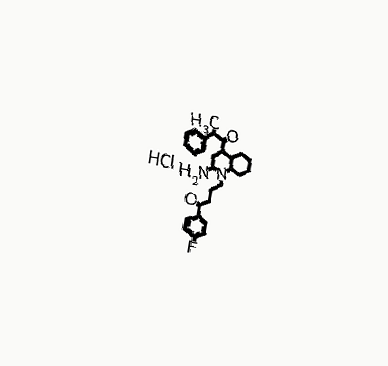 CC(C(=O)C1CC(N)N(CCCC(=O)c2ccc(F)cc2)C2CCCCC12)c1ccccc1.Cl